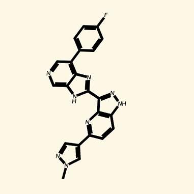 Cn1cc(-c2ccc3[nH]nc(-c4nc5c(-c6ccc(F)cc6)cncc5[nH]4)c3n2)cn1